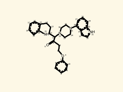 O=C(CCOc1ccccc1)C(C1CCc2ccccc2N1)N1CCN(c2cccc3[nH]ccc23)CC1